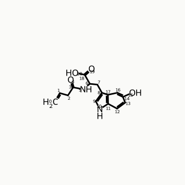 C=CCC(=O)NC(Cc1c[nH]c2ccc(O)cc12)C(=O)O